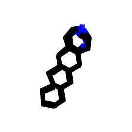 C1=CC2=C(C=CN=1)C1c3cc4ccccc4cc3C2c2cncnc21